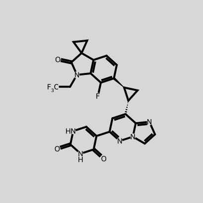 O=C1N(CC(F)(F)F)c2c(ccc([C@H]3C[C@@H]3c3cc(-c4c[nH]c(=O)[nH]c4=O)nn4ccnc34)c2F)C12CC2